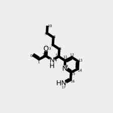 C=CC(=O)NC(CCCCC)c1cccc(C=N)n1